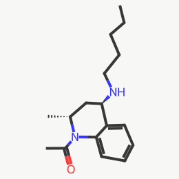 CCCCCN[C@@H]1C[C@@H](C)N(C(C)=O)c2ccccc21